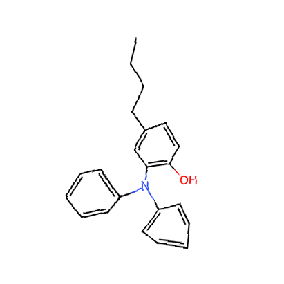 CCCCc1ccc(O)c(N(c2ccccc2)c2ccccc2)c1